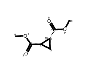 COC(=O)C1C[C@H]1C(=O)OC